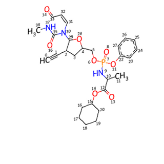 C#CC1CC(COP(=O)(NC(C)C(=O)OC2CCCCC2)Oc2ccccc2)OC1N(/C=C\C=O)C(=O)NC